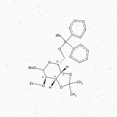 CCO[C@H]1C(OC)O[C@H](CO[Si](c2ccccc2)(c2ccccc2)C(C)(C)C)[C@@H]2OC(C)(C)O[C@@H]21